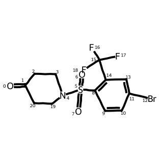 O=C1CCN(S(=O)(=O)c2ccc(Br)cc2C(F)(F)F)CC1